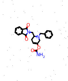 NC(=O)OC1=CCC(CN2C(=O)c3ccccc3C2=O)N(Cc2ccccc2)C1